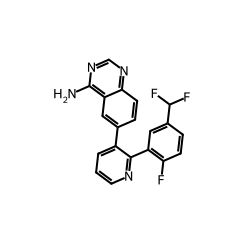 Nc1ncnc2ccc(-c3cccnc3-c3cc(C(F)F)ccc3F)cc12